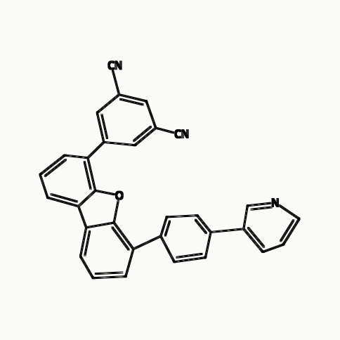 N#Cc1cc(C#N)cc(-c2cccc3c2oc2c(-c4ccc(-c5cccnc5)cc4)cccc23)c1